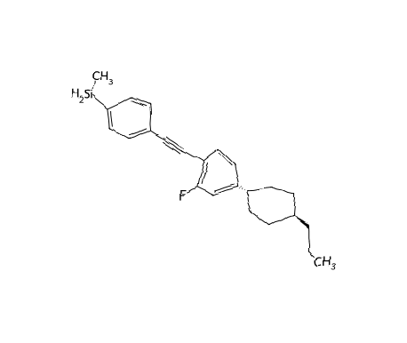 CCC[C@H]1CC[C@H](c2ccc(C#Cc3ccc([SiH2]C)cc3)c(F)c2)CC1